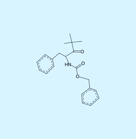 CC(C)(C)C(=O)C(Cc1ccccc1)NC(=O)OCc1ccccc1